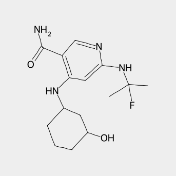 CC(C)(F)Nc1cc(NC2CCCC(O)C2)c(C(N)=O)cn1